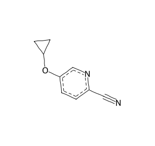 N#Cc1ccc(OC2CC2)cn1